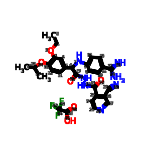 CCOc1cc(C(Nc2ccc(C(=N)N)cc2)C(=O)NNC(=O)c2ccncc2C#N)ccc1OC(C)C.O=C(O)C(F)(F)F